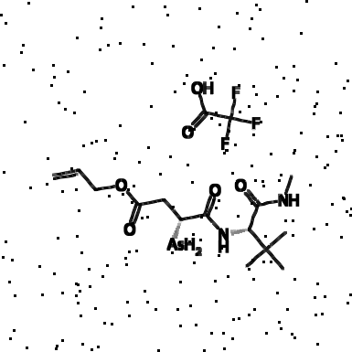 C=CCOC(=O)C[C@@H]([AsH2])C(=O)N[C@H](C(=O)NC)C(C)(C)C.O=C(O)C(F)(F)F